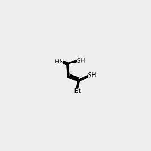 CC/C(S)=C/C(=N)S